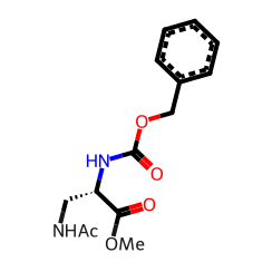 COC(=O)[C@H](CNC(C)=O)NC(=O)OCc1ccccc1